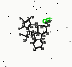 CC1=C(C)C(C)[C]([Ti+2](=[C](C)C)[CH]2c3ccccc3-c3ccccc32)=C1C.[Cl-].[Cl-]